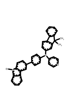 CCn1c2ccccc2c2cc(-c3ccc(N(c4ccncc4)c4ccc5c(c4)C(C)(C)c4ccccc4-5)cc3)ccc21